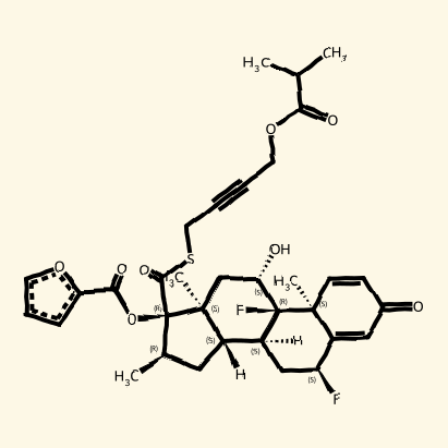 CC(C)C(=O)OCC#CCSC(=O)[C@@]1(OC(=O)c2ccco2)[C@H](C)C[C@H]2[C@@H]3C[C@H](F)C4=CC(=O)C=C[C@]4(C)[C@@]3(F)[C@@H](O)C[C@@]21C